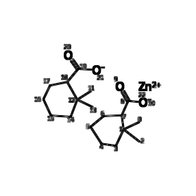 CC1(C)CCCCC1C(=O)[O-].CC1(C)CCCCC1C(=O)[O-].[Zn+2]